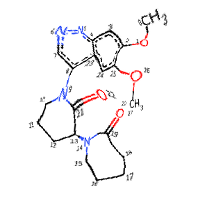 COc1cc2nncc(N3CCC[C@H](N4CCCCC4=O)C3=O)c2cc1OC